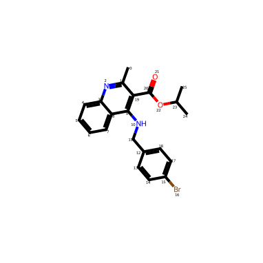 Cc1nc2ccccc2c(NCc2ccc(Br)cc2)c1C(=O)OC(C)C